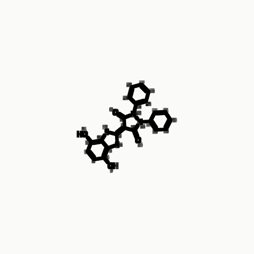 O=C1C(=C2Sc3c(O)ccc(O)c3S2)C(=O)N(c2ccccc2)N1c1ccccc1